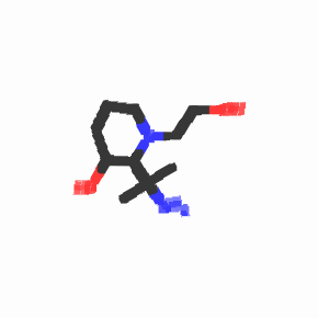 CC(C)(N)C1C(O)CCCN1CCO